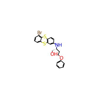 OC[C@@H](CCOc1ccccc1)Nc1ccc2c(c1)Sc1cccc(Br)c1S2